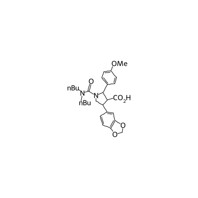 CCCCN(CCCC)C(=O)N1CC(c2ccc3c(c2)OCO3)C(C(=O)O)C1c1ccc(OC)cc1